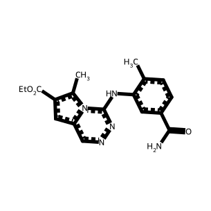 CCOC(=O)c1cc2cnnc(Nc3cc(C(N)=O)ccc3C)n2c1C